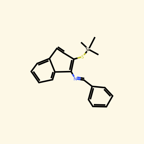 C[Si](C)(C)Sc1ccc2ccccc2c1/N=C/c1ccccc1